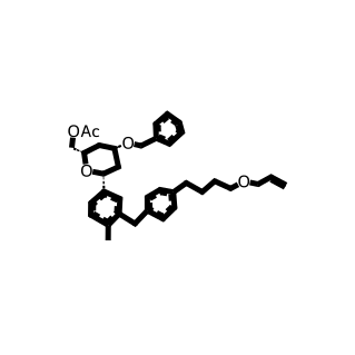 C=CCOCCCCc1ccc(Cc2cc([C@H]3C[C@@H](OCc4ccccc4)C[C@@H](COC(C)=O)O3)ccc2C)cc1